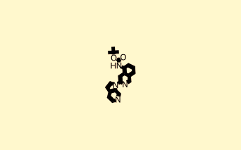 CC(C)(C)OC(=O)Nc1cccc2cnc(-n3ccc4ccncc43)cc12